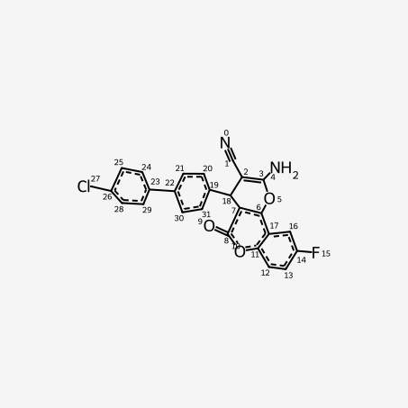 N#CC1=C(N)Oc2c(c(=O)oc3ccc(F)cc23)C1c1ccc(-c2ccc(Cl)cc2)cc1